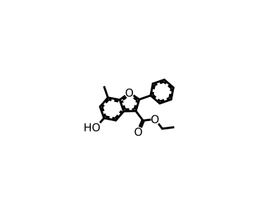 CCOC(=O)c1c(-c2ccccc2)oc2c(C)cc(O)cc12